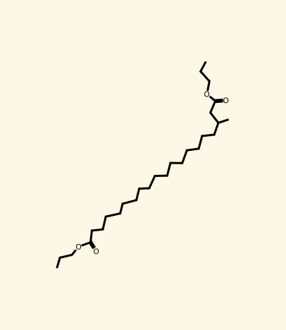 CCCOC(=O)CCCCCCCCCCCCCCCCC(C)CC(=O)OCCC